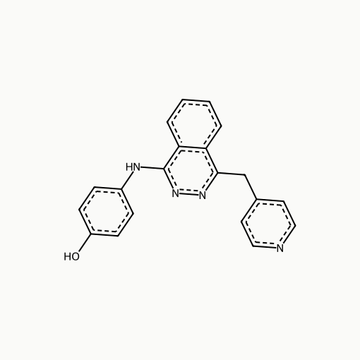 Oc1ccc(Nc2nnc(Cc3ccncc3)c3ccccc23)cc1